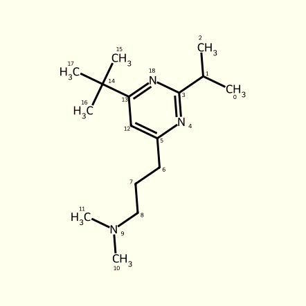 CC(C)c1nc(CCCN(C)C)cc(C(C)(C)C)n1